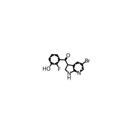 O=C(c1cccc(O)c1F)C1CNc2ncc(Br)cc21